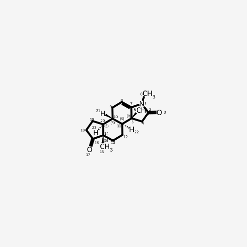 CN1C(=O)C[C@@]2(C)C1=CC[C@@H]1[C@@H]2CC[C@]2(C)C(=O)CC[C@@H]12